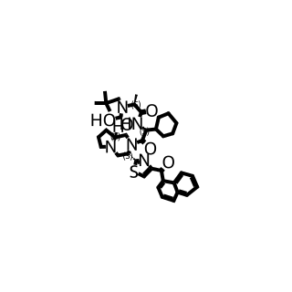 C[C@@H](C(=O)N[C@H](C(=O)N1C[C@H]2CCCN2C[C@H]1c1nc(C(=O)c2cccc3ccccc23)cs1)C1CCCCC1)N(CC(C)(C)C)C(=O)O